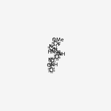 COc1cc(F)cc(-c2nccc3[nH]c(-c4n[nH]c5ccc(-c6cncc(NC(=O)c7ccccc7)c6)cc45)nc23)c1